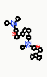 c1ccc(-c2nc(-c3ccccc3)nc(-c3ccc4c(c3)oc3cccc(-c5ccc6c(ccc7cccc(-c8ccc(-c9nc(-c%10ccccc%10)nc(-c%10ccc%11c(c%10)oc%10cccc(-c%12cc%13ccccc%13c%13ccccc%12%13)c%10%11)n9)cc8)c76)c5)c34)n2)cc1